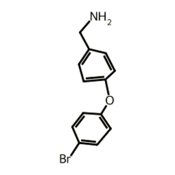 NCc1ccc(Oc2ccc(Br)cc2)cc1